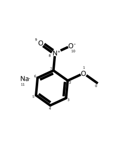 COc1ccccc1[N+](=O)[O-].[Na]